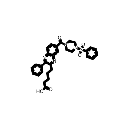 O=C(O)CCCCc1nc2cc(C(=O)N3CCN(S(=O)(=O)c4ccccc4)CC3)ccc2nc1-c1ccccc1